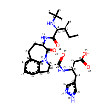 CC[C@H](C)[C@H](NC(C)(C)C)C(=O)NC1CCc2cccc3c2N(C1=O)[C@H](C(=O)N[C@@H](CC(=O)O)Cc1cn[nH]c1)C3